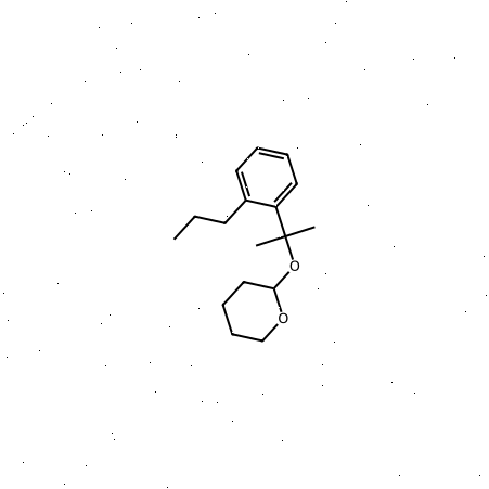 CCCc1ccccc1C(C)(C)OC1CCCCO1